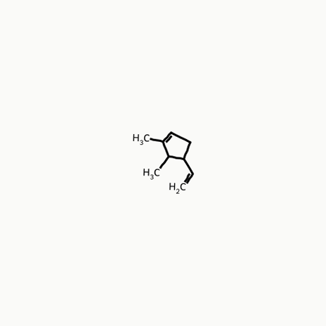 C=CC1CC=C(C)C1C